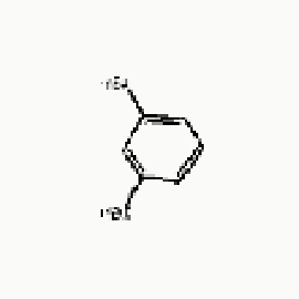 CCC[CH]c1cccc(CCCC)c1